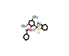 CCCCCC(C)(Pc1ccccc1C(C)=O)c1cc(C(C)(C)C)cc(C(C)(C)C)c1OCc1ccccc1